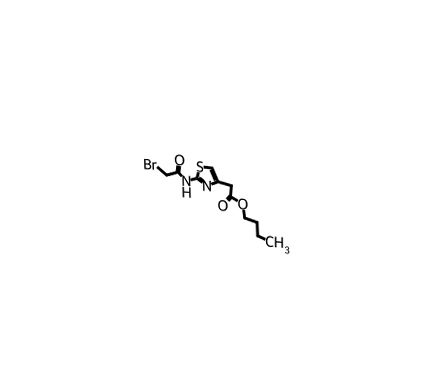 CCCCOC(=O)Cc1csc(NC(=O)CBr)n1